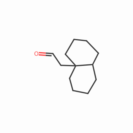 O=CCC12CCCCC1CCCC2